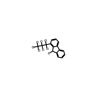 [O]C1c2ccccc2-c2cccc(C(Cl)(Cl)C(Cl)(Cl)C(Cl)(Cl)Cl)c21